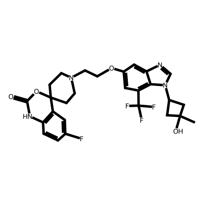 CC1(O)CC(n2cnc3cc(OCCN4CCC5(CC4)OC(=O)Nc4ccc(F)cc45)cc(C(F)(F)F)c32)C1